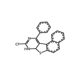 ClC1=NC(c2ccccc2)=C2c3c(ccc4ccccc34)SC2N1